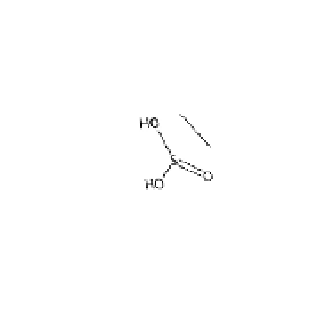 CC.O=S(O)O